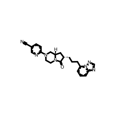 N#Cc1ccc(N2CCN3C(=O)[C@@H](CCCc4cccc5ncnn45)C[C@H]3C2)nc1